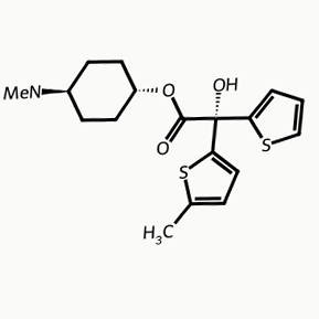 CN[C@H]1CC[C@H](OC(=O)[C@@](O)(c2cccs2)c2ccc(C)s2)CC1